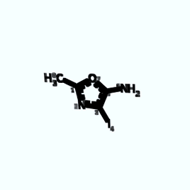 Cc1nc(I)c(N)o1